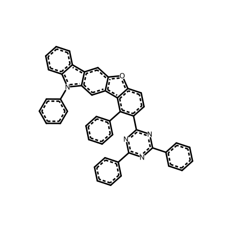 c1ccc(-c2nc(-c3ccccc3)nc(-c3ccc4oc5cc6c7ccccc7n(-c7ccccc7)c6cc5c4c3-c3ccccc3)n2)cc1